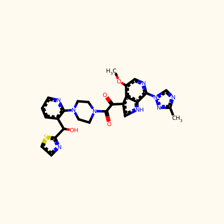 COc1cnc(-n2cnc(C)n2)c2[nH]cc(C(=O)C(=O)N3CCN(c4ncccc4C(O)c4nccs4)CC3)c12